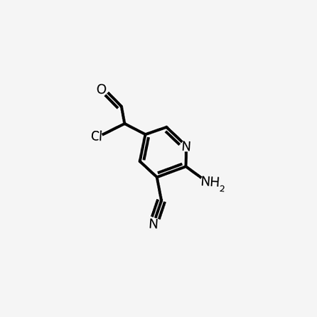 N#Cc1cc(C(Cl)C=O)cnc1N